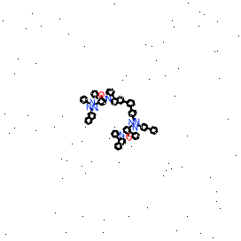 c1ccc(-c2ccc(-c3nc(-c4ccc(-c5cccc(-c6ccc7c(ccc8c7c7ccccc7n8-c7ccc(-c8nc(-c9ccccc9)nc(-c9ccc%10ccccc%10c9)n8)c8c7oc7ccccc78)c6)c5)cc4)nc(-c4ccc(-n5c6ccccc6c6c7ccccc7ccc65)c5oc6ccccc6c45)n3)cc2)cc1